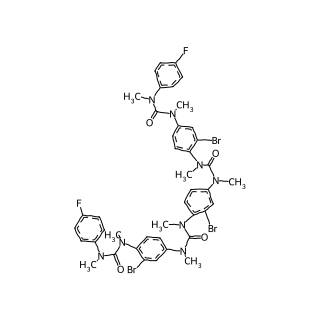 CN(C(=O)N(C)c1ccc(N(C)C(=O)N(C)c2ccc(N(C)C(=O)N(C)c3ccc(N(C)C(=O)N(C)c4ccc(F)cc4)c(Br)c3)c(Br)c2)c(Br)c1)c1ccc(F)cc1